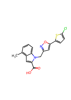 Cc1cccc2c1cc(C(=O)O)n2Cc1cc(-c2ccc(Cl)s2)on1